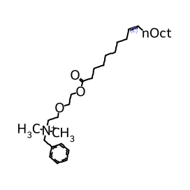 CCCCCCCC/C=C\CCCCCCCC(=O)OCCOCC[N+](C)(C)Cc1ccccc1